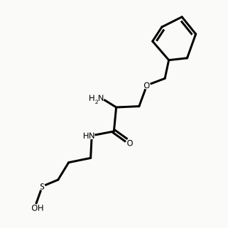 NC(COCC1C=CC=CC1)C(=O)NCCCSO